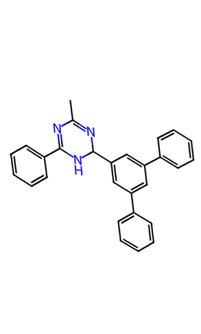 CC1=NC(c2cc(-c3ccccc3)cc(-c3ccccc3)c2)NC(c2ccccc2)=N1